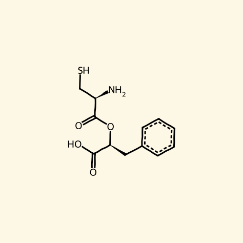 N[C@H](CS)C(=O)O[C@@H](Cc1ccccc1)C(=O)O